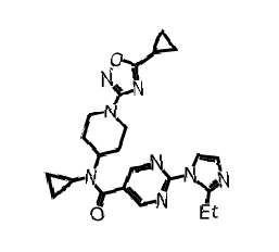 CCc1nccn1-c1ncc(C(=O)N(C2CC2)C2CCN(c3noc(C4CC4)n3)CC2)cn1